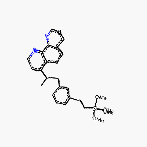 CO[Si](CCc1cccc(CC(C)c2ccnc3c2ccc2cccnc23)c1)(OC)OC